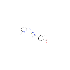 Cc1cccc(Nc2nc(-c3ccc(C(=O)O)c(C)c3)cs2)n1